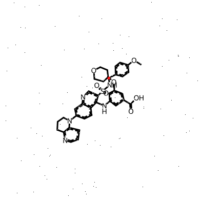 COc1ccc(CNS(=O)(=O)c2cnc3cc(N4CCCc5ncccc54)ccc3c2Nc2cc(OC3CCOCC3)cc(C(=O)O)c2)cc1